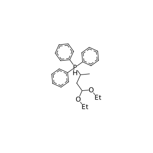 CCOC(CC(C)[PH](c1ccccc1)(c1ccccc1)c1ccccc1)OCC